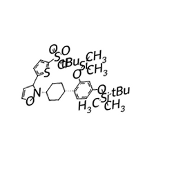 CC(C)(C)[Si](C)(C)Oc1ccc([C@H]2CC[C@@H](N3OC=CC3c3ccc(S(=O)(=O)Cl)s3)CC2)c(O[Si](C)(C)C(C)(C)C)c1